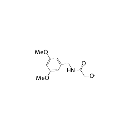 COc1cc(CNC(=O)C[O])cc(OC)c1